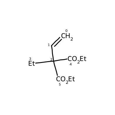 C=CC(CC)(C(=O)OCC)C(=O)OCC